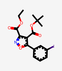 CCOC(=O)c1noc(-c2cccc(I)c2)c1C(=O)OC(C)(C)C